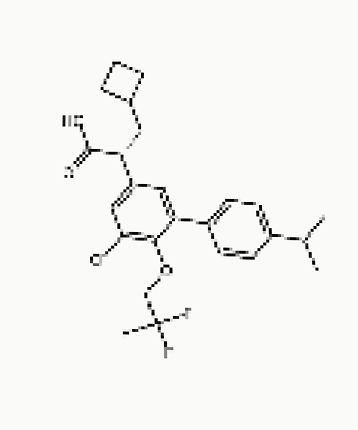 CC(C)c1ccc(-c2cc([C@@H](CC3CCC3)C(=O)O)cc(Cl)c2OCC(F)(F)F)cc1